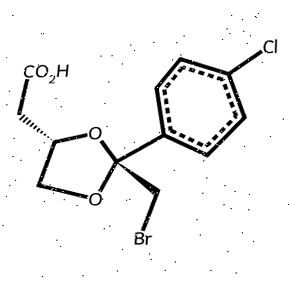 O=C(O)C[C@H]1CO[C@@](CBr)(c2ccc(Cl)cc2)O1